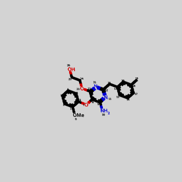 COc1ccccc1Oc1c(N)nc(Cc2cccc(C)c2)nc1OCCO